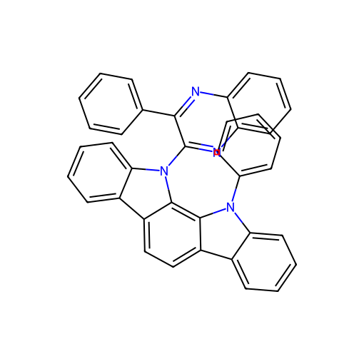 c1ccc(-c2nc3ccccc3nc2-n2c3ccccc3c3ccc4c5ccccc5n(-c5ccccc5)c4c32)cc1